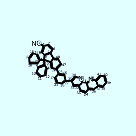 N#Cc1ccc2c(c1)C(c1ccccc1)(c1ccccc1)c1cc(-c3cccc(-c4cnc5c(ccc6cc7ccccc7nc65)c4)c3)ccc1-2